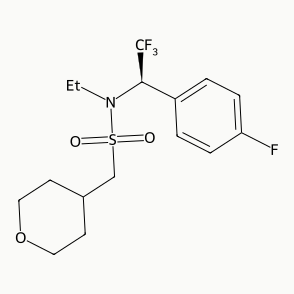 CCN([C@H](c1ccc(F)cc1)C(F)(F)F)S(=O)(=O)CC1CCOCC1